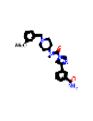 COc1cccc(CN2CCC(N(C)C(=O)n3cnc(-c4cccc(C(N)=O)c4)c3)CC2)c1